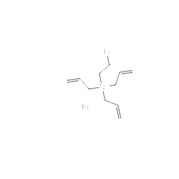 C=CC[N+](CC=C)(CC=C)CCBr.[Br-]